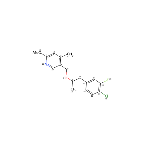 COc1cc(C)c(COC(Cc2ccc(Cl)c(F)c2)C(F)(F)F)cn1